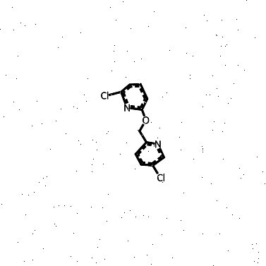 Clc1ccc(COc2cccc(Cl)n2)nc1